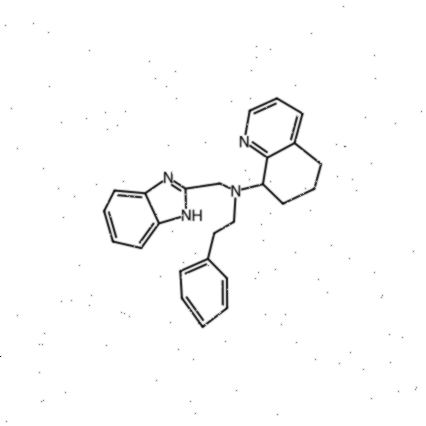 c1ccc(CCN(Cc2nc3ccccc3[nH]2)C2CCCc3cccnc32)cc1